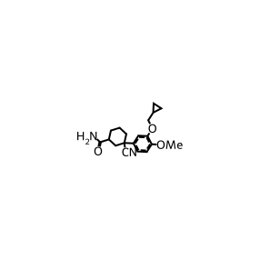 COc1ccc(C2(C#N)CCCC(C(N)=O)C2)cc1OCC1CC1